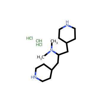 CN(C)C(CC1CCNCC1)CC1CCNCC1.Cl.Cl.Cl